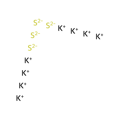 [K+].[K+].[K+].[K+].[K+].[K+].[K+].[K+].[S-2].[S-2].[S-2].[S-2]